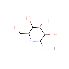 O=C(O)C1NC(CO)C(O)C(O)C1O